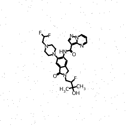 CC(C)(O)C(F)CN1Cc2cc(NC(=O)c3cnn4cccnc34)c(N3CCN(CC(F)F)CC3)cc2C1=O